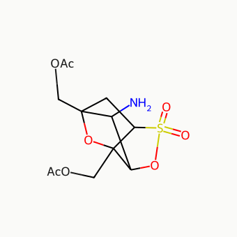 CC(=O)OCC12CC3C(COC(C)=O)(O1)C(OS3(=O)=O)C2N